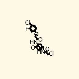 O=C(CCl)NC12CCC(NC(=O)COc3ccc(Cl)c(F)c3)(CC1)C(=O)N2